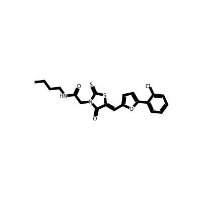 CCCCNC(=O)CN1C(=O)/C(=C/c2ccc(-c3ccccc3Cl)o2)SC1=S